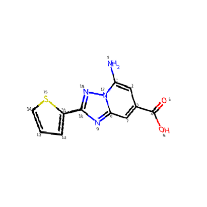 Nc1cc(C(=O)O)cc2nc(-c3cccs3)nn12